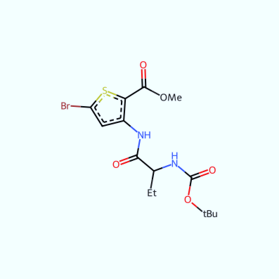 CCC(NC(=O)OC(C)(C)C)C(=O)Nc1cc(Br)sc1C(=O)OC